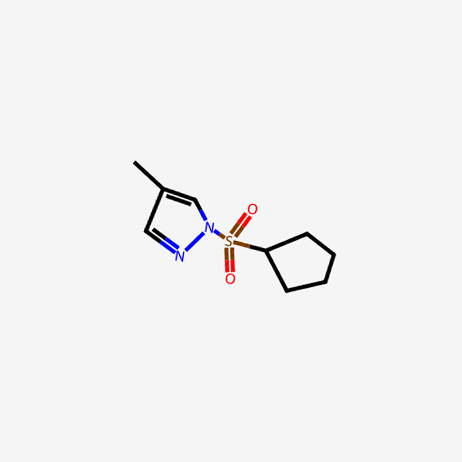 Cc1cnn(S(=O)(=O)C2CCCC2)c1